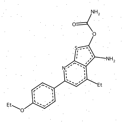 CCOc1ccc(-c2cc(CC)c3c(N)c(OC(N)=O)sc3n2)cc1